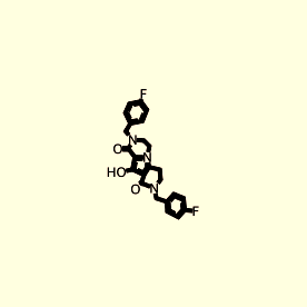 O=C1c2c(O)c3n(c2CCN1Cc1ccc(F)cc1)CCN(Cc1ccc(F)cc1)C3=O